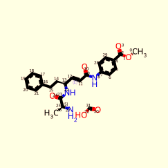 COC(=O)c1ccc(NC(=O)/C=C/[C@H](CCc2ccccc2)NC(=O)[C@H](C)N)cc1.O=CO